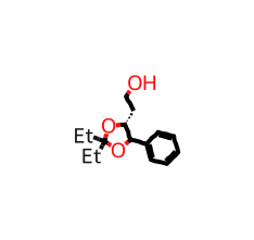 CCC1(CC)OC(c2ccccc2)[C@@H](CCO)O1